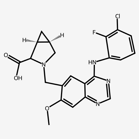 COc1cc2ncnc(Nc3cccc(Cl)c3F)c2cc1CN1C[C@@H]2C[C@@H]2C1C(=O)O